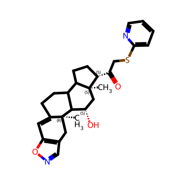 C[C@]12Cc3cnoc3C=C1CCC1C2[C@@H](O)C[C@@]2(C)C1CC[C@@H]2C(=O)CSc1ccccn1